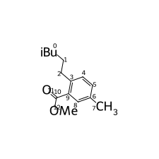 CCC(C)CCc1ccc(C)cc1C(=O)OC